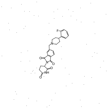 O=C1CCC(N2C(=O)c3ccc(CN4CCC(c5ccccc5F)CC4)cc3C2=O)C(=O)N1